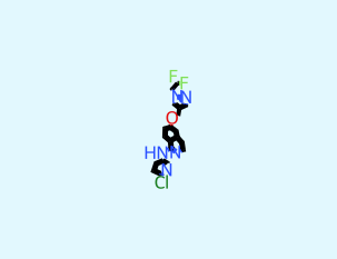 FC(F)Cn1cc(COc2ccc3c(Nc4ccc(Cl)nc4)nccc3c2)cn1